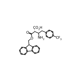 NC(Cc1ccc(C(F)(F)F)cc1)[C@@H](C(=O)O)C(=O)OCC1c2ccccc2-c2ccccc21